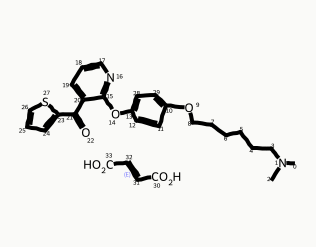 CN(C)CCCCCCOc1ccc(Oc2ncccc2C(=O)c2cccs2)cc1.O=C(O)/C=C/C(=O)O